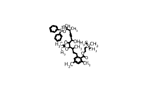 Cc1cc(C)c(C(=O)OCC[Si](C)(C)C)c(/C=C/C(C)C2OC(C)(C)OC2C(O)C#C[C@@H](C)[C@H](C)O[Si](c2ccccc2)(c2ccccc2)C(C)(C)C)c1